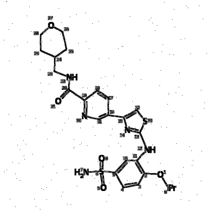 CC(C)Oc1ccc(S(N)(=O)=O)cc1Nc1nc(-c2ccc(C(=O)NCC3CCOCC3)nc2)cs1